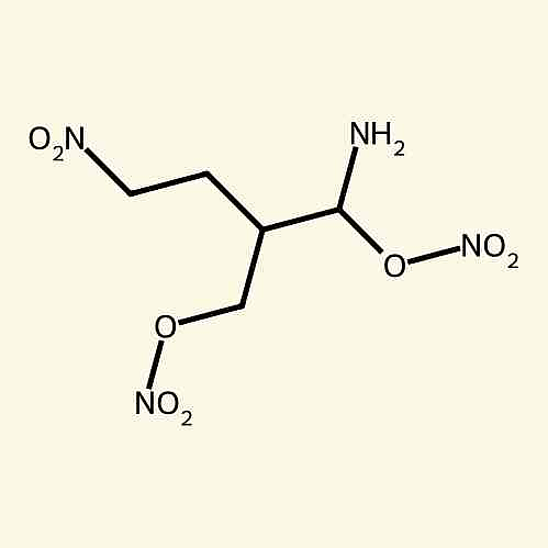 NC(O[N+](=O)[O-])C(CC[N+](=O)[O-])CO[N+](=O)[O-]